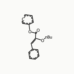 CCCCOC(=Cc1ccccc1)C(=O)Oc1ccccc1